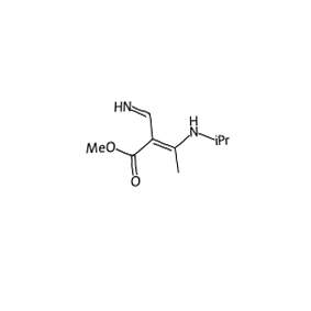 COC(=O)/C(C=N)=C(\C)NC(C)C